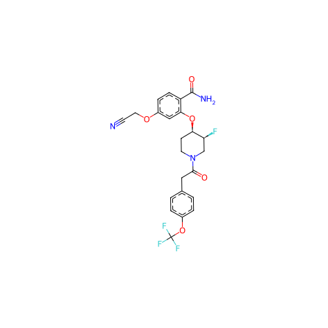 N#CCOc1ccc(C(N)=O)c(O[C@@H]2CCN(C(=O)Cc3ccc(OC(F)(F)F)cc3)C[C@@H]2F)c1